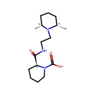 C[C@@H]1CCC[C@H](C)N1CCNC(=O)[C@@H]1CCCCN1C(=O)O